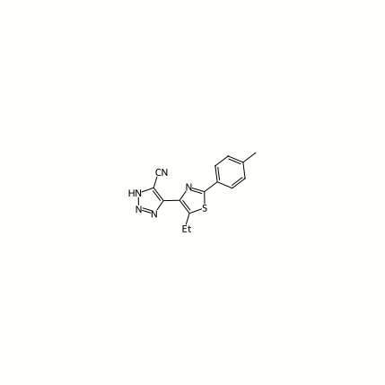 CCc1sc(-c2ccc(C)cc2)nc1-c1nn[nH]c1C#N